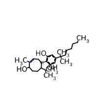 CCCCCCC(C)(C)c1cc(O)c([C@@H]2C/C=C(/C)C(O)CCC2C(C)C)c(O)c1